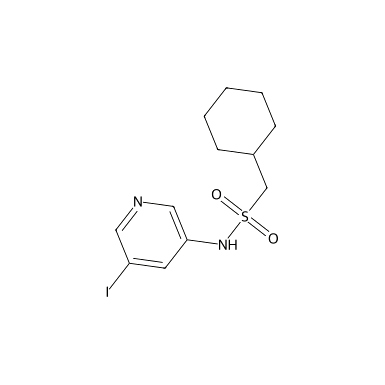 O=S(=O)(CC1CCCCC1)Nc1cncc(I)c1